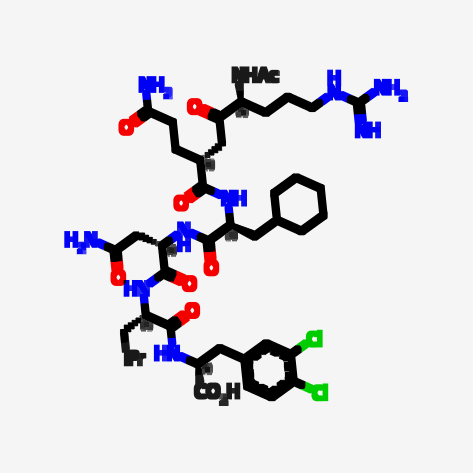 CC(=O)N[C@@H](CCCNC(=N)N)C(=O)C[C@@H](CCC(N)=O)C(=O)N[C@@H](CC1CCCCC1)C(=O)N[C@@H](CC(N)=O)C(=O)N[C@@H](CC(C)C)C(=O)N[C@@H](Cc1ccc(Cl)c(Cl)c1)C(=O)O